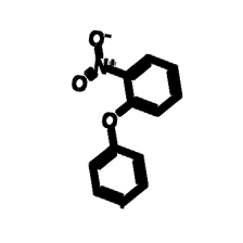 O=[N+]([O-])c1ccccc1Oc1cc[c]cc1